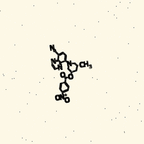 C[C@@H]1C[C@@H](OC(=O)c2ccc([N+](=O)[O-])cc2)CN(c2ccc(C#N)c3nccnc23)C1